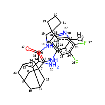 CC1CC(NC(=O)C23CC4CC(C2)C(C(N)C(=O)NCC2(c5ccc(F)c(F)c5)CCC2)C(C4)C3)=CC=N1